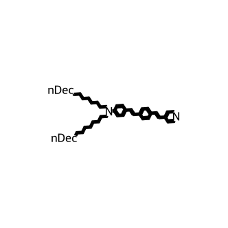 CCCCCCCCCCCCCCCCCCN(CCCCCCCCCCCCCCCCCC)c1ccc(C=Cc2ccc(C=Cc3ccncc3)cc2)cc1